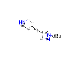 CC(C)(C)n1cc(C#CC2CCNCC2)cn1